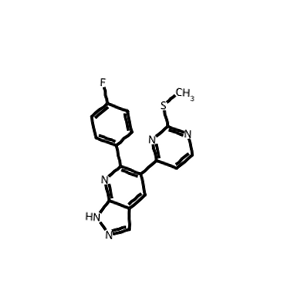 CSc1nccc(-c2cc3cn[nH]c3nc2-c2ccc(F)cc2)n1